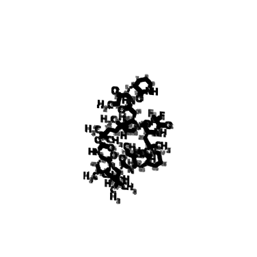 C=CC(=O)[C@H](C[C@@H]1CCCNC1=O)NC(=O)C[C@@H]1[C@@H]2[C@H](CN1C(=O)[C@H](CC(C)C)NC(=O)C(F)(F)F)C2(C)CCC(C)(C)OC(=O)N[C@@H](CC(C)C)C(=O)N1C[C@H]2[C@@H]([C@H]1C(=O)N[C@@H](C[C@@H]1CCCNC1=O)C(=O)C=C)C2(C)C